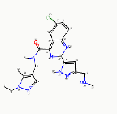 CCn1ncc(CN(C)C(=O)c2nc(-c3cc(CNC)nn3C)nc3ccc(Cl)cc23)c1C